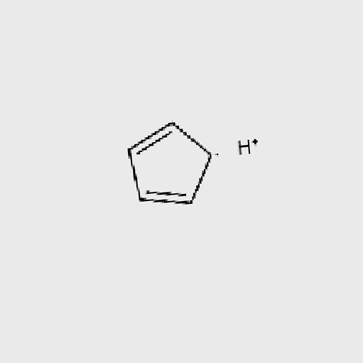 [CH]1C=CC=C1.[H+]